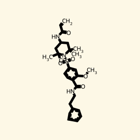 C=CC(=O)NC1CC(C)(C)N(S(=O)(=O)c2ccc(C(=O)NCCc3ccccc3)c(OC)c2)C(C)(C)C1